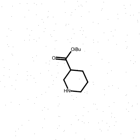 CC(C)COC(=O)C1CCCNC1